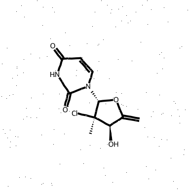 C=C1O[C@@H](n2ccc(=O)[nH]c2=O)[C@](C)(Cl)[C@@H]1O